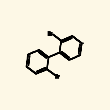 Brc1c[c]ccc1-c1ccccc1Br